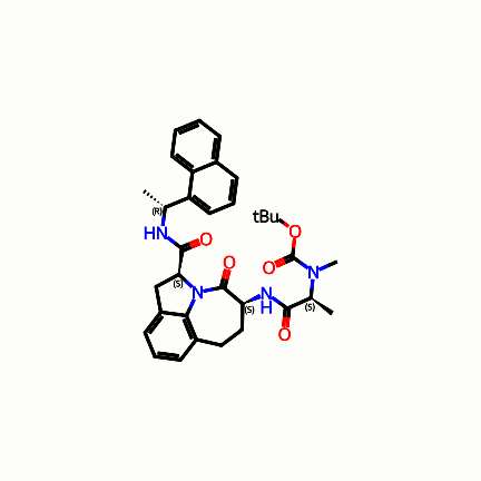 C[C@@H](NC(=O)[C@@H]1Cc2cccc3c2N1C(=O)[C@@H](NC(=O)[C@H](C)N(C)C(=O)OC(C)(C)C)CC3)c1cccc2ccccc12